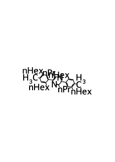 CCCCCCc1cc(-c2nc(CCC)c(-c3cc(CCCCCC)c(C)cc3CCCCCC)nc2CCC)c(CCCCCC)cc1C